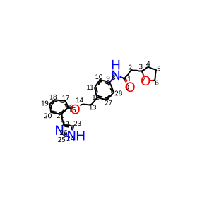 O=C(CC1CCCO1)Nc1ccc(CCOc2ccccc2-c2c[nH]cn2)cc1